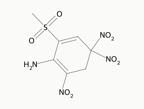 CS(=O)(=O)C1=CC([N+](=O)[O-])([N+](=O)[O-])CC([N+](=O)[O-])=C1N